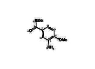 CNC(=O)c1ccc(OC)c(N)c1